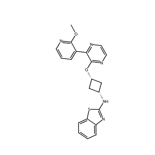 COc1ncccc1-c1nccnc1O[C@H]1C[C@@H](Nc2nc3ccccc3s2)C1